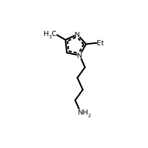 CCc1nc(C)cn1CCCCN